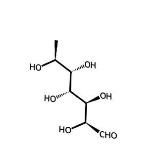 C[C@H](O)[C@H](O)[C@@H](O)[C@@H](O)[C@H](O)C=O